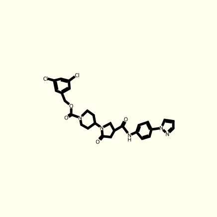 O=C(Nc1ccc(-n2cccn2)cc1)C1CC(=O)N(C2CCN(C(=O)OCc3cc(Cl)cc(Cl)c3)CC2)C1